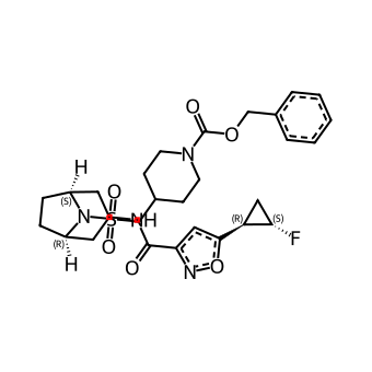 O=C(NC1C[C@H]2CC[C@@H](C1)N2S(=O)(=O)CC1CCN(C(=O)OCc2ccccc2)CC1)c1cc([C@H]2C[C@@H]2F)on1